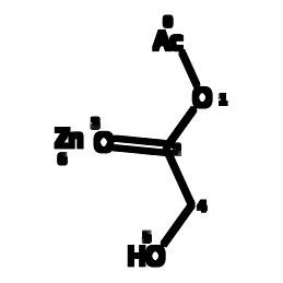 CC(=O)OC(=O)CO.[Zn]